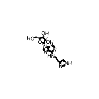 C[C@@]1(O)[C@H](O)[C@@H](CO)O[C@H]1n1cnc2c(NCCc3c[nH]cn3)ncnc21